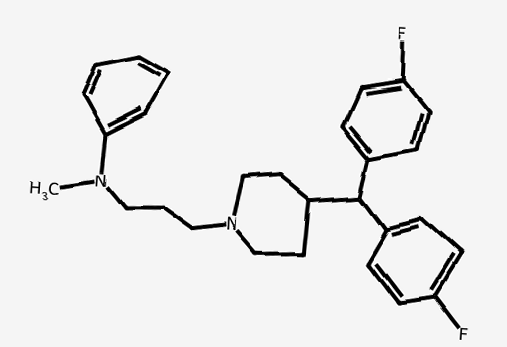 CN(CCCN1CCC(C(c2ccc(F)cc2)c2ccc(F)cc2)CC1)c1ccccc1